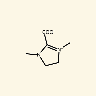 CN1CC[N+](C)=C1C(=O)[O-]